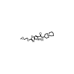 COCCOc1nc2[nH]c(C(=O)NC3CC[Si]4(CCCCC4)CC3)cc2s1